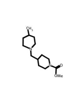 COC(=O)N1CCC(CN2CCC(C)CC2)CC1